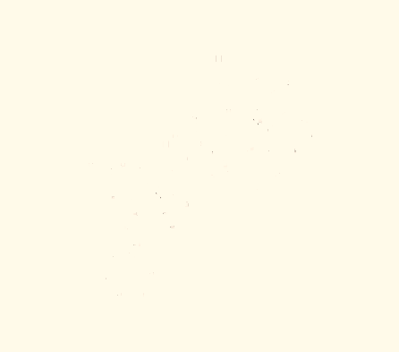 Cc1ccc(N(c2cccc3ccccc23)c2cc3c(c4ccccc24)-c2ccc(-n4c5ccc(C)cc5c5cc(-c6ccccc6)ccc54)cc2C3(C)C)cc1